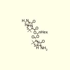 CCCCCCC(OC(=O)[C@@H]1N2C(=O)[C@@H](N)[C@H]2SC1(C)C)OC(=O)[C@@H]1N2C(=O)[C@@H](N)[C@H]2SC1(C)C